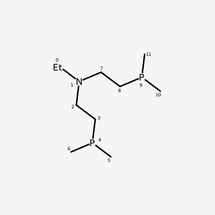 CCN(CCP(C)C)CCP(C)C